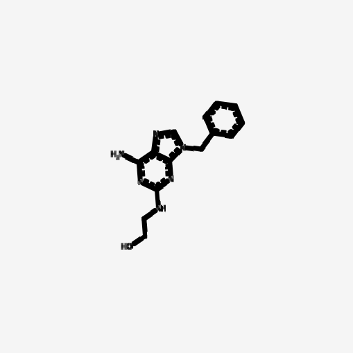 Nc1nc(NCCO)nc2c1ncn2Cc1ccccc1